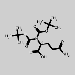 CC(C)(C)OC(=O)N(C(=O)OC(C)(C)C)[C@@H](CCC(N)=O)C(=O)O